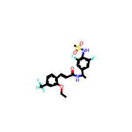 CCOc1cc(C(F)(F)F)ccc1C=CC(=O)NC(C)c1cc(F)c(NS(C)(=O)=O)c(F)c1